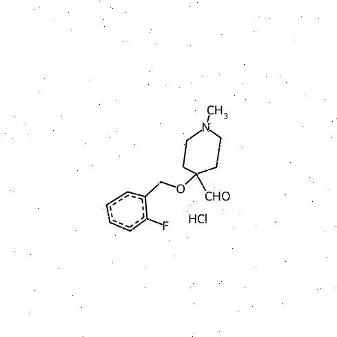 CN1CCC(C=O)(OCc2ccccc2F)CC1.Cl